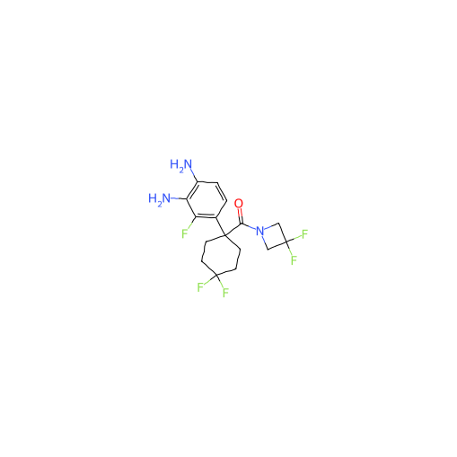 Nc1ccc(C2(C(=O)N3CC(F)(F)C3)CCC(F)(F)CC2)c(F)c1N